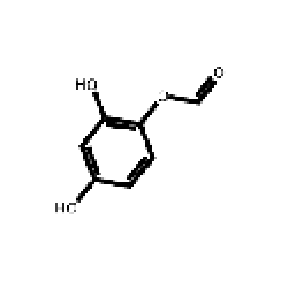 O=COc1ccc(O)cc1O